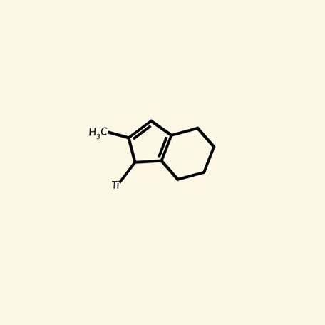 CC1=CC2=C(CCCC2)[CH]1[Ti]